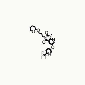 Cn1c(=O)n(CCCOC2CCCCO2)c(=O)c2cc(Oc3ccc(C(F)(F)F)nc3)cnc21